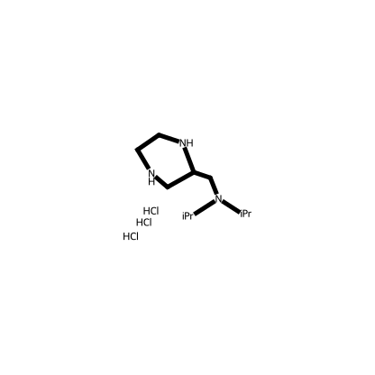 CC(C)N(CC1CNCCN1)C(C)C.Cl.Cl.Cl